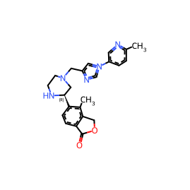 Cc1ccc(-n2cnc(CN3CCN[C@H](c4ccc5c(c4C)COC5=O)C3)c2)cn1